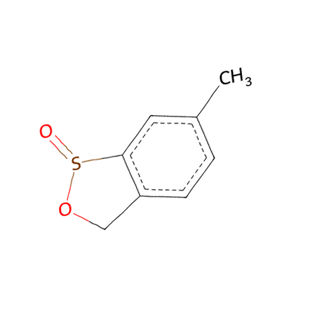 Cc1ccc2c(c1)S(=O)OC2